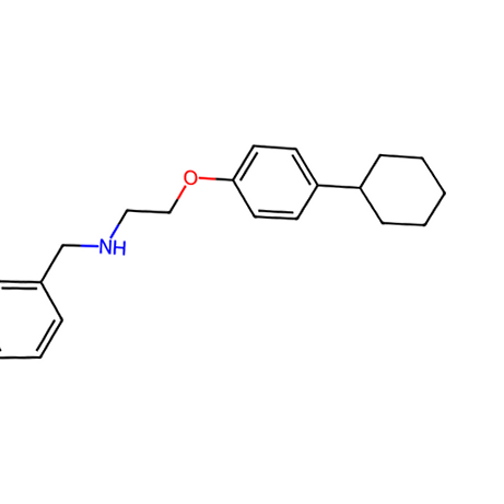 c1ccc(CNCCOc2ccc(C3CCCCC3)cc2)cc1